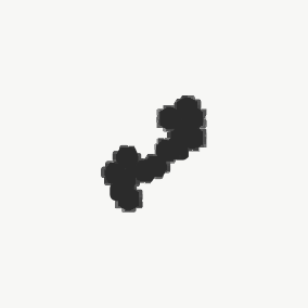 c1ccc(N(c2ccc3ccc(-c4ccc5c(c4)oc4c6ccccc6c(N(c6ccccc6)c6cccc7ccccc67)cc54)cc3c2)c2cc3c4ccccc4oc3c3ccccc23)cc1